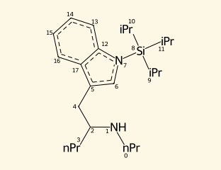 CCCNC(CCC)Cc1cn([Si](C(C)C)(C(C)C)C(C)C)c2ccccc12